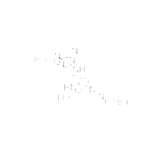 Cc1cn2cc(NC(=O)c3ccc(N4CCN(C(=O)OC(C)(C)C)CC4)c4cc(C)[nH]c34)nc(C#N)c2n1